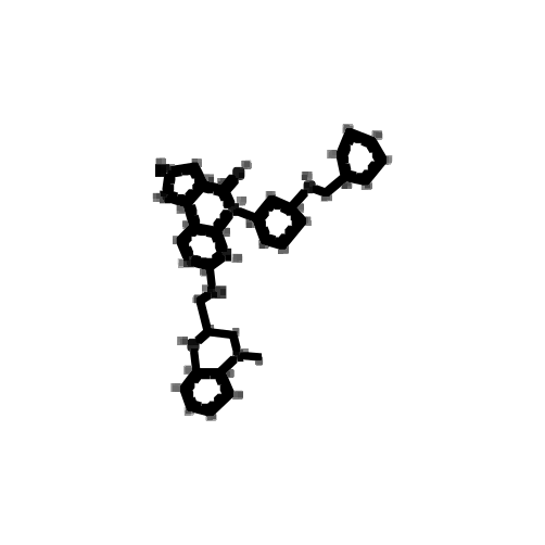 CN1CC(CNc2ncc3c4n[nH]cc4c(=O)n(-c4cccc(OCc5ccccc5)c4)c3n2)Oc2ccccc21